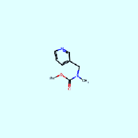 CN(Cc1cccnc1)C(=O)OC(C)(C)C